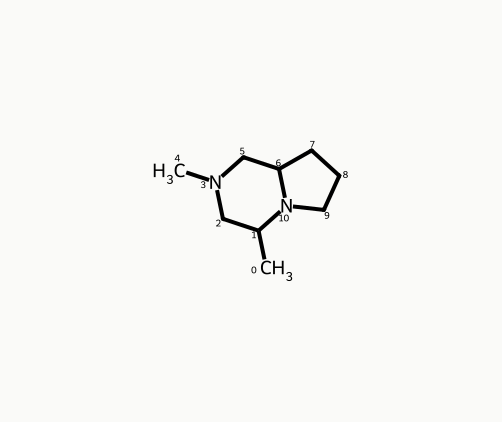 CC1CN(C)CC2CCCN12